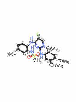 COc1ccc(Nc2nc(Nc3cc(OC)c(OC)cc3OC)ncc2F)c(NS(C)(=O)=O)c1